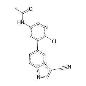 CC(=O)Nc1cnc(Cl)c(-c2ccc3ncc(C#N)n3c2)c1